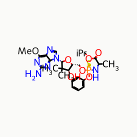 COc1nc(N)nc2c1ncn2[C@@H]1O[C@H](COP(=S)(NC(C)C(=O)OC(C)C)Oc2ccccc2)[C@@H](O)C1(C)C